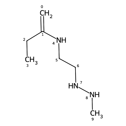 C=C(CC)NCCNNC